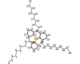 CCCCCCCCCCc1ccccc1P(c1ccccc1CCCCCCCCCC)c1ccccc1CCCCCCCCCC